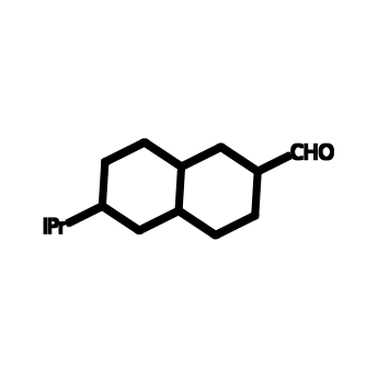 CC(C)C1CCC2CC(C=O)CCC2C1